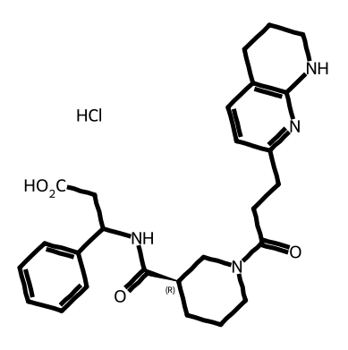 Cl.O=C(O)CC(NC(=O)[C@@H]1CCCN(C(=O)CCc2ccc3c(n2)NCCC3)C1)c1ccccc1